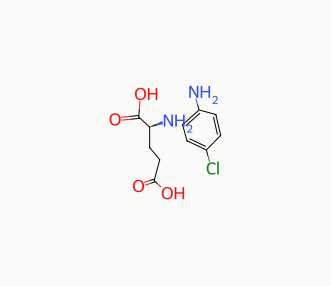 N[C@@H](CCC(=O)O)C(=O)O.Nc1ccc(Cl)cc1